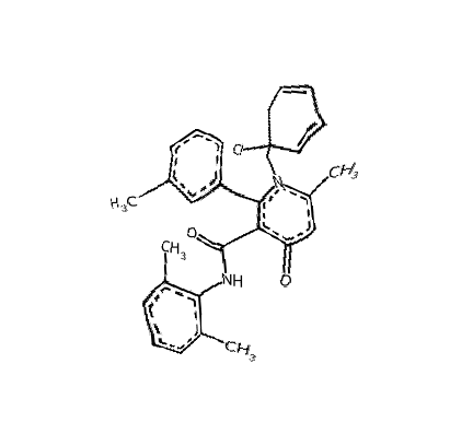 Cc1cccc(-c2c(C(=O)Nc3c(C)cccc3C)c(=O)cc(C)n2C2(Cl)C=CC=CC2)c1